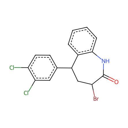 O=C1Nc2ccccc2C(c2ccc(Cl)c(Cl)c2)CC1Br